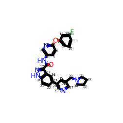 O=C(Nc1ccc(Oc2cccc(F)c2)nc1)c1n[nH]c2ccc(-c3cncc(CN4CCCC4)c3)cc12